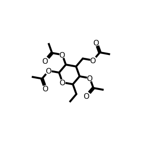 CCC1OC(OC(C)=O)C(OC(C)=O)C(COC(C)=O)C1OC(C)=O